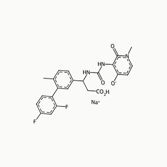 Cc1ccc(C(CC(=O)O)NC(=O)Nc2c([O-])ccn(C)c2=O)cc1-c1ccc(F)cc1F.[Na+]